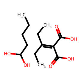 CCC(CC)=C(C(=O)O)C(=O)O.CCCCC(O)O